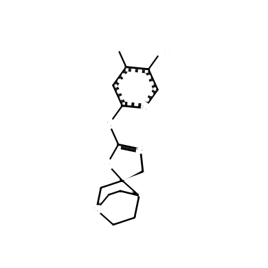 Cc1cnc(NC2=NC[C@@]3(CN4CCC3CC4)O2)cc1C